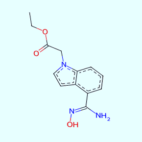 CCOC(=O)Cn1ccc2c(C(N)=NO)cccc21